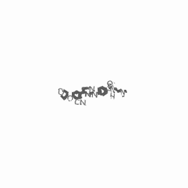 CN(C)CCCN[S+]([O-])c1ccc(Nc2nccc(-c3ccc(OC4CCOCC4)c(C#N)c3)n2)cc1